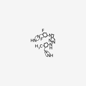 Cc1ccc(Nc2ncc3ccn(-c4cc(F)c(CN5CCNCC5)c(F)c4)c3n2)cc1CN1CCNCC1